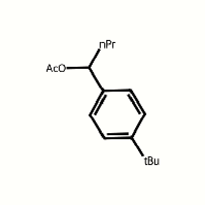 CCCC(OC(C)=O)c1ccc(C(C)(C)C)cc1